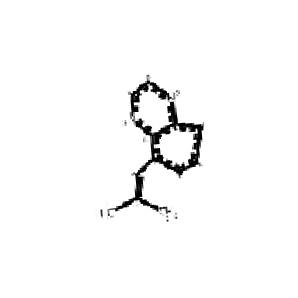 CC(C)=Cc1cccc2nccnc12